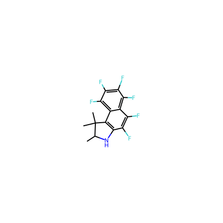 CC1Nc2c(F)c(F)c3c(F)c(F)c(F)c(F)c3c2C1(C)C